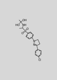 CC(NC(C)(O)O)S(=O)(=O)c1ccc(N2CCC(c3ccc(Cl)cc3)=N2)cc1